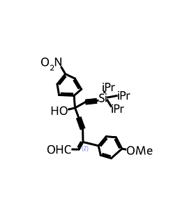 COc1ccc(/C(C#CC(O)(C#C[Si](C(C)C)(C(C)C)C(C)C)c2ccc([N+](=O)[O-])cc2)=C/C=O)cc1